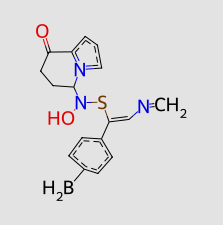 Bc1ccc(/C(=C/N=C)SN(O)C2CCC(=O)c3cccn32)cc1